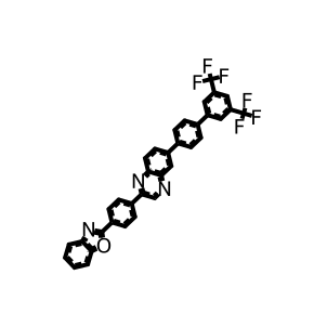 FC(F)(F)c1cc(-c2ccc(-c3ccc4nc(-c5ccc(-c6nc7ccccc7o6)cc5)cnc4c3)cc2)cc(C(F)(F)F)c1